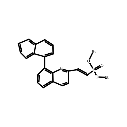 CCOP(=O)(C=Cc1ccc2cccc(-c3cccc4ccccc34)c2n1)OCC